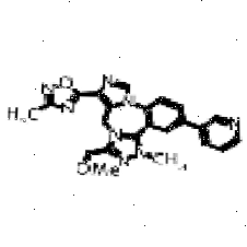 COCC1=NN(C)C2c3cc(-c4cccnc4)ccc3-n3cnc(-c4nc(C)no4)c3CN12